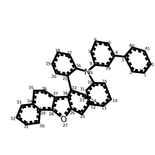 c1ccc(-c2cccc(N(c3ccccc3)c3ccccc3-c3cccc4oc5c6ccccc6ccc5c34)c2)cc1